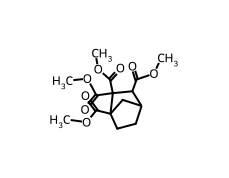 COC(=O)C1C2CCC(C(=O)OC)(C2)C1(C(=O)OC)C(=O)OC